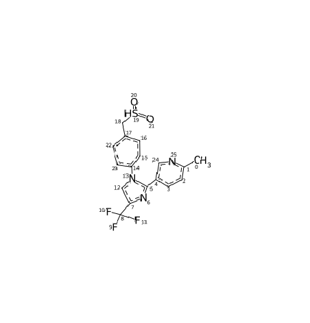 Cc1ccc(-c2nc(C(F)(F)F)cn2-c2ccc(C[SH](=O)=O)cc2)cn1